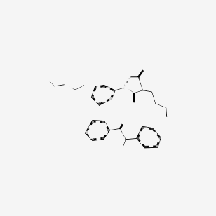 CCCCC1C(=O)NN(c2ccccc2)C1=O.CCOCC.O=C(c1ccccc1)C(O)c1ccccc1